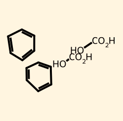 O=C(O)O.O=C(O)O.c1ccccc1.c1ccccc1